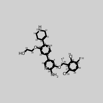 C[C@@H](Oc1cc(-c2cnc(C3=CCNCC3)c(OCCO)c2)cnc1N)c1c(Cl)ccc(F)c1Cl